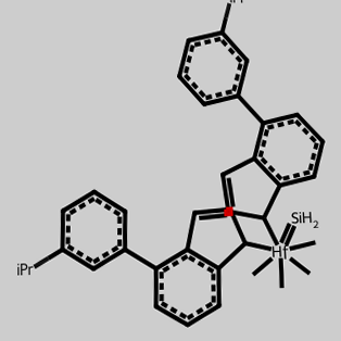 CC(C)c1cccc(-c2cccc3c2C=C[CH]3[Hf]([CH3])([CH3])([CH3])([CH3])(=[SiH2])[CH]2C=Cc3c(-c4cccc(C(C)C)c4)cccc32)c1